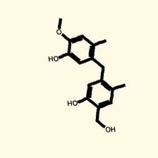 COc1cc(C)c(Cc2cc(O)c(CO)cc2C)cc1O